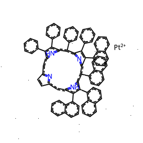 C1=Cc2cc3[nH]c(c(-c4cccc5ccccc45)c4nc(c(-c5ccccc5)c5[nH]c(cc1n2)c(-c1ccccc1)c5-c1ccccc1)C(c1ccccc1)=C4c1cccc2ccccc12)c(-c1cccc2ccccc12)c3-c1cccc2ccccc12.[Pt+2]